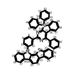 c1ccc(-c2nc(-c3cccc(-n4c5ccccc5c5ccc6c7ccccc7sc6c54)c3)nc3c2-c2ccccc2[Si]3(c2ccccc2)c2ccccc2)cc1